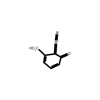 [N-]=[N+]=C1C(=O)C=CC=C1C(=O)O